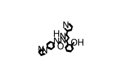 O=C(Nc1ccc(-n2cccn2)cc1)N1N=C(c2cccnc2)CC1c1ccccc1O